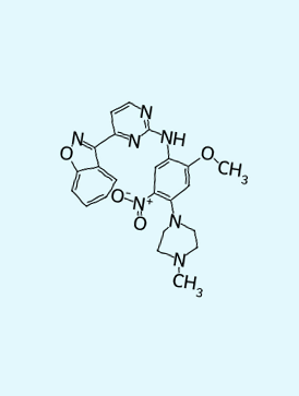 COc1cc(N2CCN(C)CC2)c([N+](=O)[O-])cc1Nc1nccc(-c2noc3ccccc23)n1